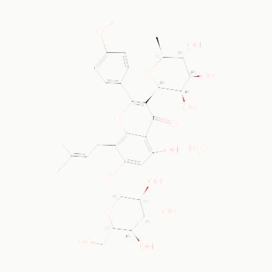 COc1ccc(-c2oc3c(CC=C(C)C)c(O[C@H]4O[C@@H](CO)[C@H](O)[C@@H](O)[C@@H]4O)cc(O)c3c(=O)c2[C@H]2O[C@@H](C)[C@H](O)[C@@H](O)[C@H]2O)cc1.O